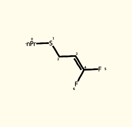 CC[CH]SCC=C(F)F